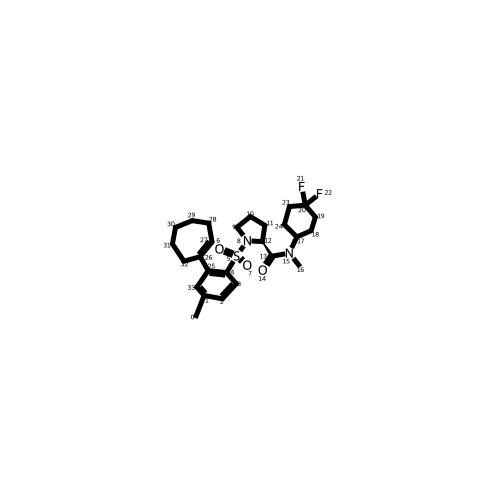 Cc1ccc(S(=O)(=O)N2CCC[C@H]2C(=O)N(C)C2CCC(F)(F)CC2)c(C2=CCCCCC2)c1